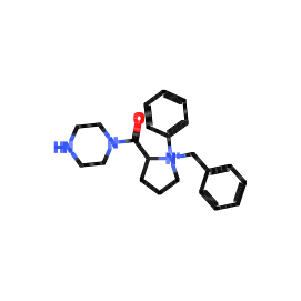 O=C(C1CCC[N+]1(Cc1ccccc1)c1ccccc1)N1CCNCC1